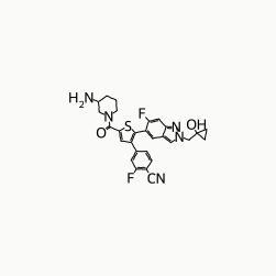 N#Cc1ccc(-c2cc(C(=O)N3CCCC(N)C3)sc2-c2cc3cn(CC4(O)CC4)nc3cc2F)cc1F